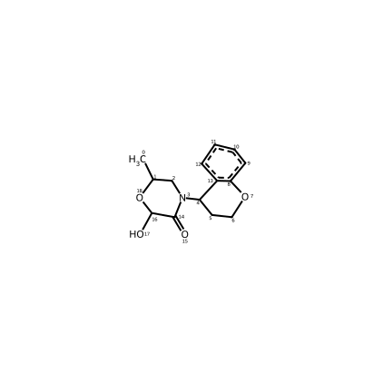 CC1CN(C2CCOc3ccccc32)C(=O)C(O)O1